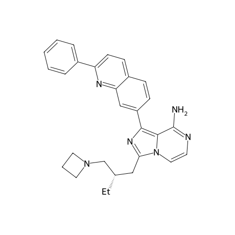 CC[C@@H](Cc1nc(-c2ccc3ccc(-c4ccccc4)nc3c2)c2c(N)nccn12)CN1CCC1